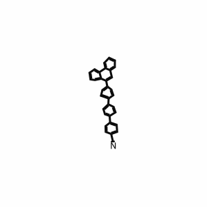 N#Cc1ccc(-c2ccc(-c3ccc(-c4cc5ccccc5c5ccccc45)cc3)cc2)cc1